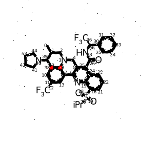 CC1CN(Cc2c(-c3cccc(C(F)(F)F)c3)nc3c(S(=O)(=O)C(C)C)cccc3c2C(=O)N[C@H](c2ccccc2)C(F)(F)F)CCC1N1CCCC1